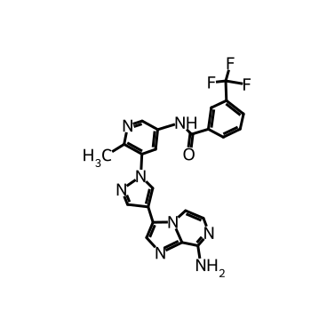 Cc1ncc(NC(=O)c2cccc(C(F)(F)F)c2)cc1-n1cc(-c2cnc3c(N)nccn23)cn1